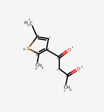 CC(=O)CC(=O)c1cc(C)sc1C